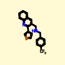 FC(F)(F)c1ccc(CNCc2cc3ccccc3nc2-c2ccsc2)cc1